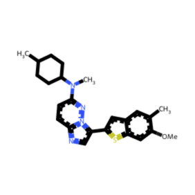 COc1cc2sc(-c3cnc4ccc(N(C)C5CCC(C)CC5)nn34)cc2cc1C